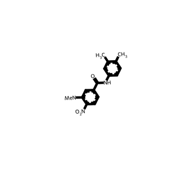 CNc1cc(C(=O)Nc2ccc(C)c(C)c2)ccc1[N+](=O)[O-]